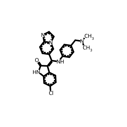 CN(C)Cc1ccc(NC(=C2C(=O)Nc3cc(Cl)ccc32)c2ccc3nccn3c2)cc1